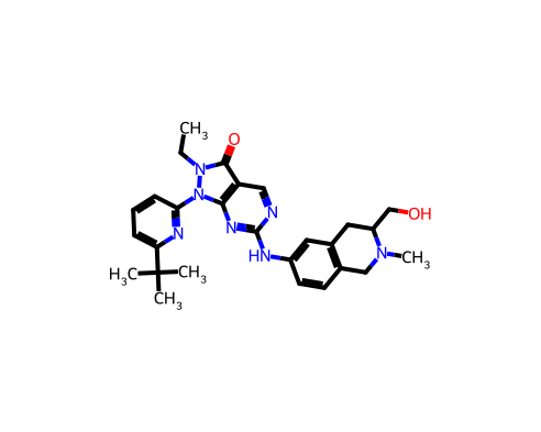 CCn1c(=O)c2cnc(Nc3ccc4c(c3)CC(CO)N(C)C4)nc2n1-c1cccc(C(C)(C)C)n1